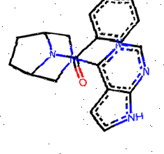 O=C(c1ccccc1)N1C2CCC1CN(c1ncnc3[nH]ccc13)C2